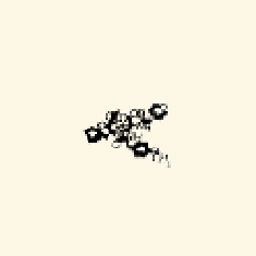 COc1ccc(C[C@H](NC(=O)[C@@H](NC(=O)CN2CCOCC2)[C@H](C)O)C(=O)N[C@@H](CC2=CCCCC2)C(=O)[C@@]2(C)CO2)cc1